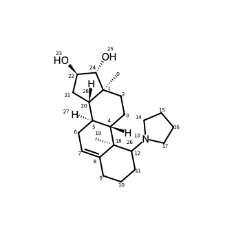 C[C@]12CC[C@H]3[C@@H](CC=C4CCCC(N5CCCC5)[C@@]43C)[C@@H]1C[C@@H](O)[C@@H]2O